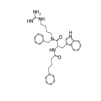 N=C(N)NCCCCN(Cc1ccccc1)C(=O)C(Cc1c[nH]c2ccccc12)NC(=O)CCCc1ccccc1